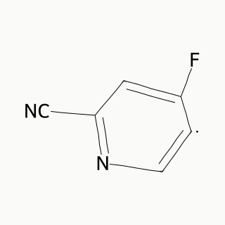 N#Cc1cc(F)[c]cn1